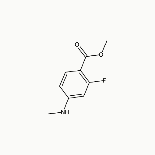 CNc1ccc(C(=O)OC)c(F)c1